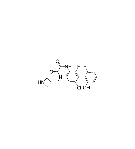 O=c1[nH]c2c(F)c(-c3c(O)cccc3F)c(Cl)cc2n(CC2CNC2)c1=O